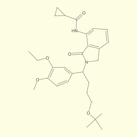 CCOc1cc(C(CC[C]OC(C)(C)C)N2Cc3cccc(NC(=O)C4CC4)c3C2=O)ccc1OC